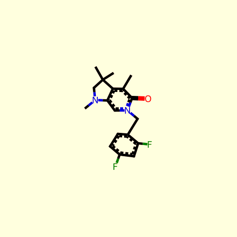 Cc1c2c(cn(Cc3ccc(F)cc3F)c1=O)N(C)CC2(C)C